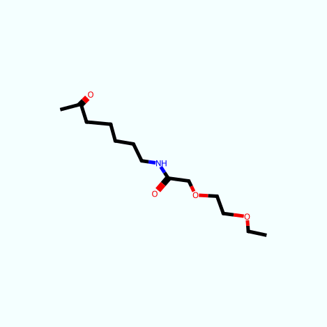 CCOCCOCC(=O)NCCCCCC(C)=O